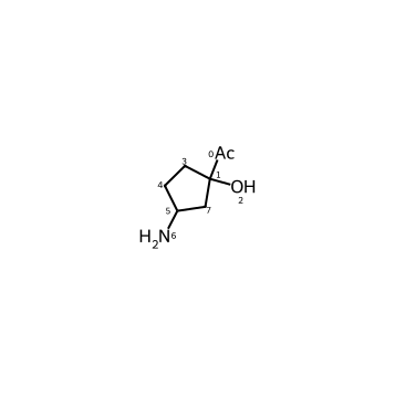 CC(=O)C1(O)CCC(N)C1